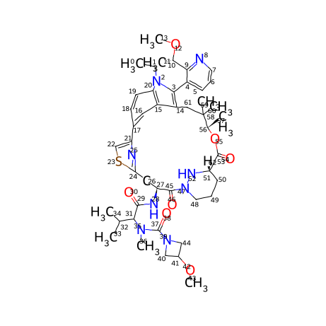 CCn1c(-c2cccnc2[C@H](C)OC)c2c3cc(ccc31)-c1csc(n1)C[C@H](NC(=O)C(C(C)C)N(C)C(=O)N1CC(OC)C1)C(=O)N1CCC[C@H](N1)C(=O)O[C@H](C)C(C)(C)C2